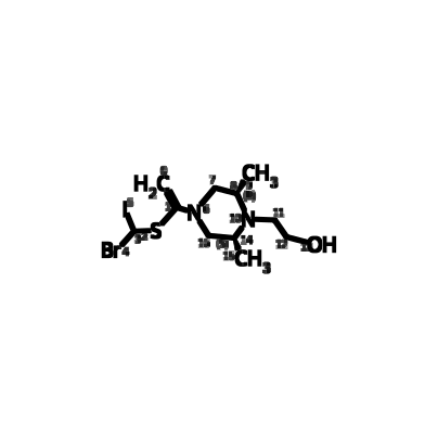 C=C(SC(Br)I)N1C[C@@H](C)N(CCO)[C@@H](C)C1